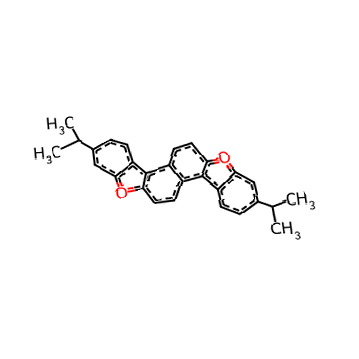 CC(C)c1ccc2c(c1)oc1ccc3c(ccc4oc5cc(C(C)C)ccc5c43)c12